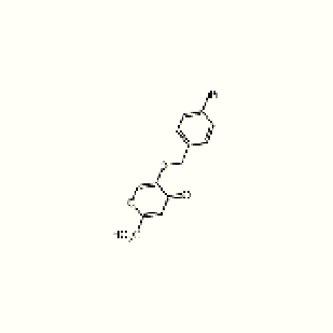 CC(C)c1ccc(COc2coc(C(=O)O)cc2=O)cc1